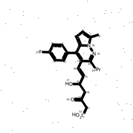 Cc1ccc2c(-c3ccc(F)cc3)c(/C=C/C(O)CC(=O)CC(=O)O)c(C(C)C)nn12